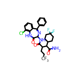 NC(=O)C(C1CCC(F)(F)CC1)C(CCC(F)(F)F)C(=O)NC1N=C(c2ccccc2)c2cccc(Cl)c2NC1=O